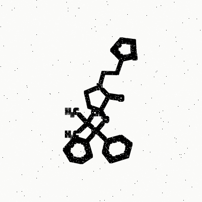 CC(C)(C)[Si](OC1CCN(CCc2cccs2)C1=O)(c1ccccc1)c1ccccc1